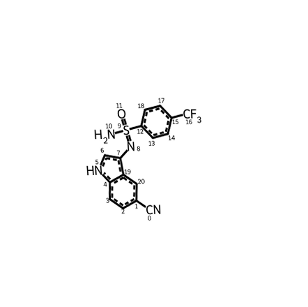 N#Cc1ccc2[nH]cc(N=S(N)(=O)c3ccc(C(F)(F)F)cc3)c2c1